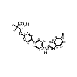 CC(C)(COc1ncc(-c2ccc(Nc3nc4ccc(F)cc4s3)cc2)cn1)C(=O)O